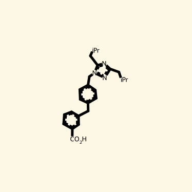 CC(C)Cc1nc(CC(C)C)n(Cc2ccc(Cc3cccc(C(=O)O)c3)cc2)n1